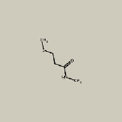 CNC(=O)CCSC